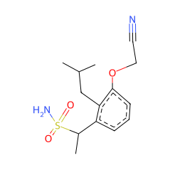 CC(C)Cc1c(OCC#N)cccc1C(C)S(N)(=O)=O